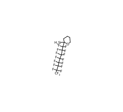 FC(F)(F)C(F)(F)C(F)(F)C(F)(F)C(F)(F)C(F)(F)C(F)(F)C(F)(F)C1([SiH3])CCCCO1